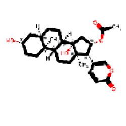 CC(=O)O[C@H]1C[C@]2(O)[C@@H]3CC[C@@H]4C[C@@H](O)CC[C@]4(C)[C@H]3CC[C@]2(C)[C@H]1c1ccc(=O)oc1